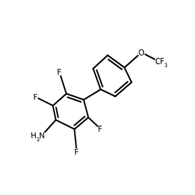 Nc1c(F)c(F)c(-c2ccc(OC(F)(F)F)cc2)c(F)c1F